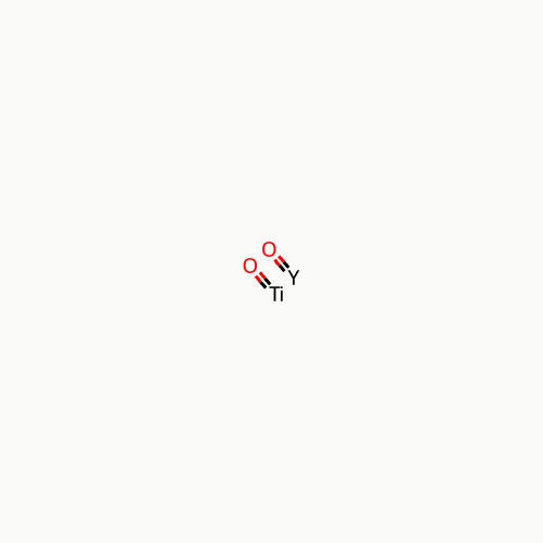 [O]=[Ti].[O]=[Y]